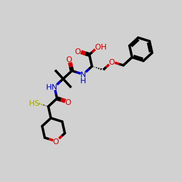 CC(C)(NC(=O)[C@@H](S)C1CCOCC1)C(=O)N[C@@H](COCc1ccccc1)C(=O)O